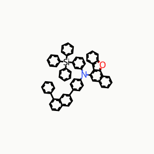 c1ccc(-c2cccc3ccc(-c4ccc(N(c5cccc([Si](c6ccccc6)(c6ccccc6)c6ccccc6)c5)c5cc6ccccc6c6oc7ccccc7c56)cc4)cc23)cc1